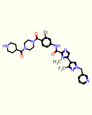 CCc1cc(NC(=O)c2ncc(-c3cn(Cc4cccnc4)nc3C(F)(F)F)n2C)ccc1C(=O)N1CCN(C(=O)C2CCNCC2)CC1